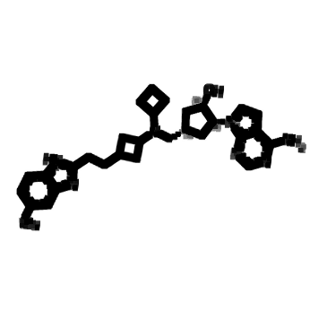 CC(C)(C)c1ccc2[nH]c(CCC3CC(N(C[C@@H]4C[C@@H](O)[C@H](n5ccc6c(N)ncnc65)C4)C4CCC4)C3)nc2c1